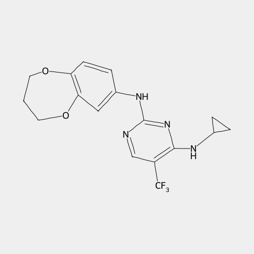 FC(F)(F)c1cnc(Nc2ccc3c(c2)OCCCO3)nc1NC1CC1